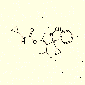 CN1CC(OC(=O)NC2CC2)=C(C(F)F)[N+]1(c1ccccc1)C1CC1